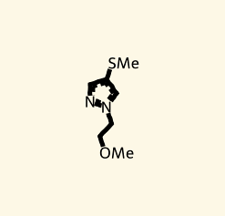 COCCn1cc(SC)cn1